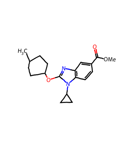 COC(=O)c1ccc2c(c1)nc(OC1CCC(C)CC1)n2C1CC1